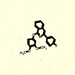 COc1ccc(Oc2nc(-c3ccc(F)cc3)cc3ccccc23)cc1OC